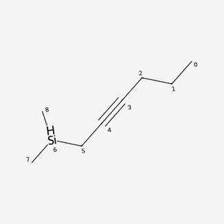 CCCC#CC[SiH](C)C